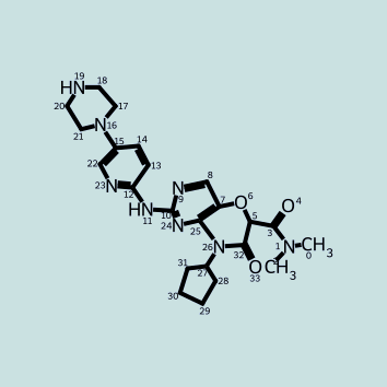 CN(C)C(=O)C1Oc2cnc(Nc3ccc(N4CCNCC4)cn3)nc2N(C2CCCC2)C1=O